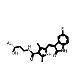 CC(=O)[C@@H](O)CCNC(=O)c1c(C)[nH]c(/C=C2\C(=O)Nc3ccc(F)cc32)c1C